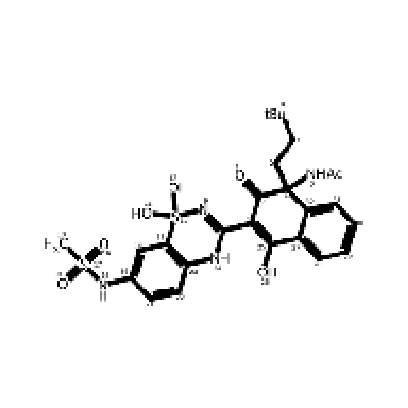 CC(=O)NC1(CCC(C)(C)C)C(=O)C(C2=NS(O)(O)c3cc(NS(C)(=O)=O)ccc3N2)=C(O)c2ccccc21